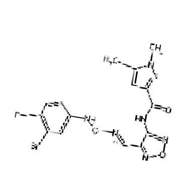 Cc1cc(C(=O)Nc2nonc2/C=N/ONc2ccc(F)c(Br)c2)nn1C